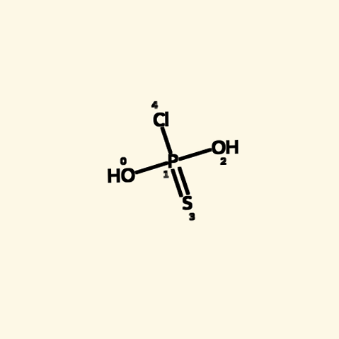 OP(O)(=S)Cl